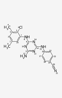 Cc1cc(C)c(Cl)c(Nc2nc(N)nc(Nc3ccc(C#N)cc3)n2)c1